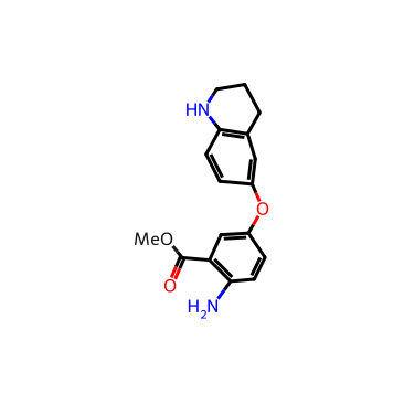 COC(=O)c1cc(Oc2ccc3c(c2)CCCN3)ccc1N